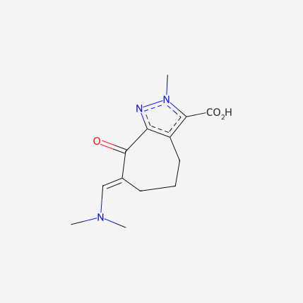 CN(C)/C=C1\CCCc2c(nn(C)c2C(=O)O)C1=O